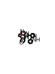 c1ccc2c(c1)[nH]c1nccc(-c3nc(N4CCOCC4C4CCC4)c4ccncc4n3)c12